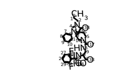 CCCN1CN(c2ccccc2)C2(CCN(C(=O)NCC(NC(=O)c3c(F)cccc3F)C(=O)O)CC2)C1=O